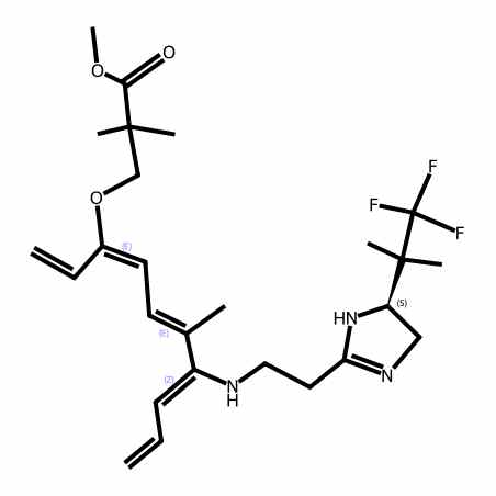 C=C/C=C(NCCC1=NC[C@H](C(C)(C)C(F)(F)F)N1)/C(C)=C/C=C(\C=C)OCC(C)(C)C(=O)OC